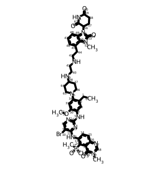 CCc1cc(Nc2ncc(Br)c(Nc3ccc4ncn(C)c(=O)c4c3P(C)(C)=O)n2)c(OC)cc1N1CCC(NCCNCCc2cccc3c2n(C)c(=O)n3C2CCC(=O)NC2=O)CC1